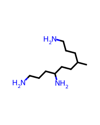 CC(CCCN)CCC(N)CCCN